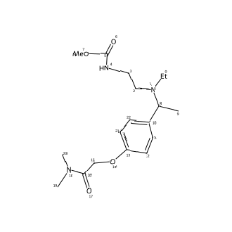 CCN(CCNC(=O)OC)C(C)c1ccc(OCC(=O)N(C)C)cc1